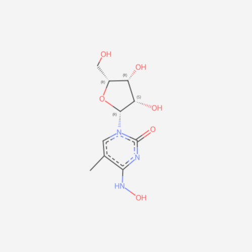 Cc1cn([C@@H]2O[C@H](CO)[C@H](O)[C@@H]2O)c(=O)nc1NO